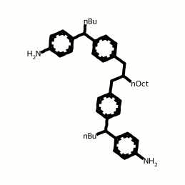 CCCCCCCCC(Cc1ccc(C(CCCC)c2ccc(N)cc2)cc1)Cc1ccc(C(CCCC)c2ccc(N)cc2)cc1